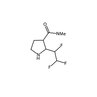 CNC(=O)C1CCNC1C(F)C(F)F